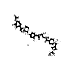 CCc1cc(Nc2nccn3c(-c4ccc(OC(F)F)c(F)c4F)cnc23)ccc1C(=O)N[C@@H](C)CNC(=O)C1CC[N+](C)(CC2CN(C(=O)OC(C)(C)C)C2)CC1.[I-]